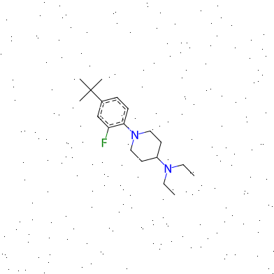 CCN(CC)C1CCN(c2ccc(C(C)(C)C)cc2F)CC1